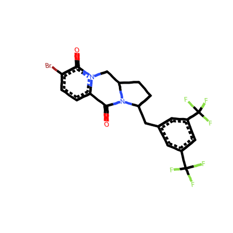 O=C1c2ccc(Br)c(=O)n2CC2CCC(Cc3cc(C(F)(F)F)cc(C(F)(F)F)c3)N12